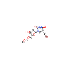 CCOCOC[C@H]1O[C@@H](n2cc(C=CBr)c(=O)[nH]c2=O)C[C@@H]1O